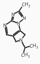 Cc1nc2ncc3c(n2n1)CN(C(C)C)C3